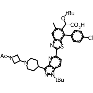 CC(=O)N1CC(N2CCC(c3nn(C(C)(C)C)c4ccc(-c5nc6cc(C)c([C@H](OC(C)(C)C)C(=O)O)c(-c7ccc(Cl)cc7)c6s5)nc34)CC2)C1